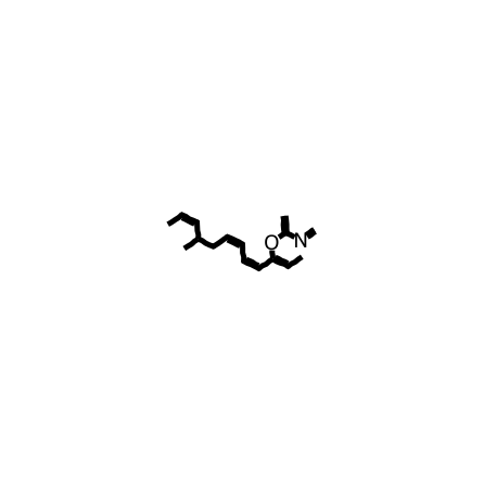 C=NC(=C)OC(/C=C\C=C/CC(C)/C=C\C)=C\C